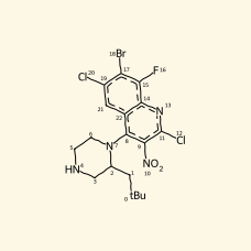 CC(C)(C)CC1CNCCN1c1c([N+](=O)[O-])c(Cl)nc2c(F)c(Br)c(Cl)cc12